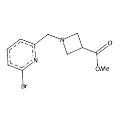 COC(=O)C1CN(Cc2cccc(Br)n2)C1